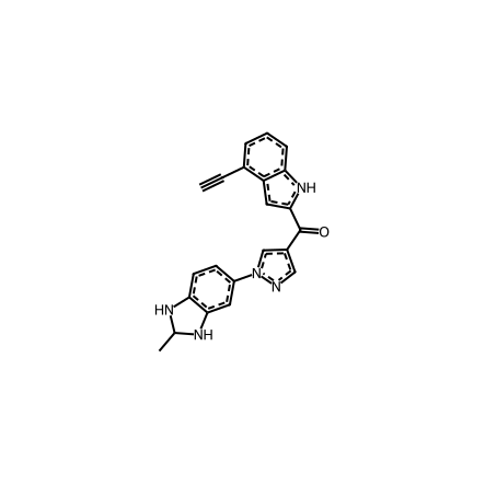 C#Cc1cccc2[nH]c(C(=O)c3cnn(-c4ccc5c(c4)NC(C)N5)c3)cc12